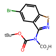 CC(C)(C)OC(=O)N(C(=O)O)c1nsc2ccc(Br)cc12